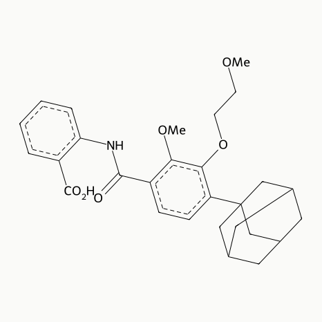 COCCOc1c(C23CC4CC(CC(C4)C2)C3)ccc(C(=O)Nc2ccccc2C(=O)O)c1OC